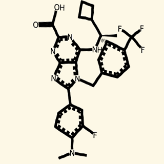 C[C@@H](Nc1nc(C(=O)O)nc2nc(-c3ccc(N(C)C)c(F)c3)n(Cc3ccc(C(F)(F)F)cc3)c12)C1CCC1